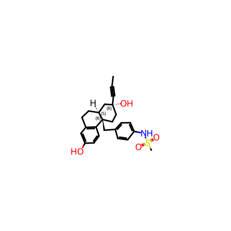 CC#C[C@@]1(O)CC[C@]2(Cc3ccc(NS(C)(=O)=O)cc3)c3ccc(O)cc3CC[C@H]2C1